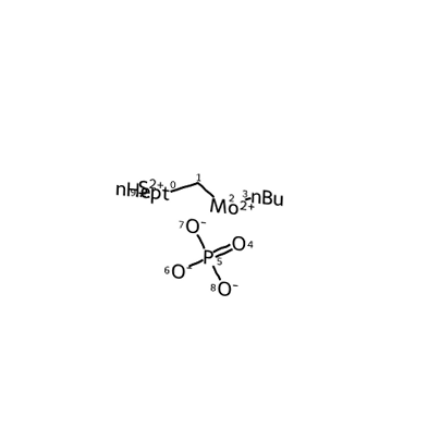 CCCCCCC[CH2][Mo+2][CH2]CCC.O=P([O-])([O-])[O-].[S+2]